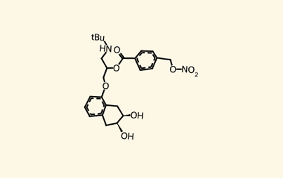 CC(C)(C)NCC(COc1cccc2c1C[C@@H](O)[C@@H](O)C2)OC(=O)c1ccc(CO[N+](=O)[O-])cc1